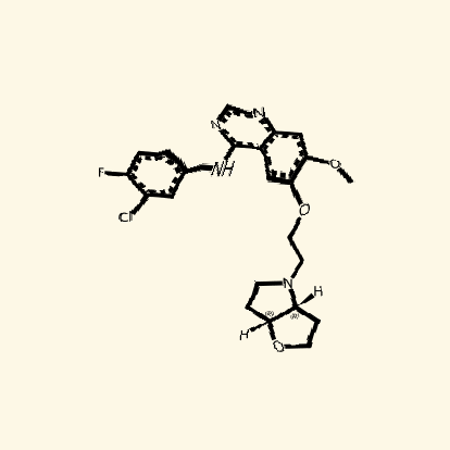 COc1cc2ncnc(Nc3ccc(F)c(Cl)c3)c2cc1OCCN1CC[C@H]2OCC[C@H]21